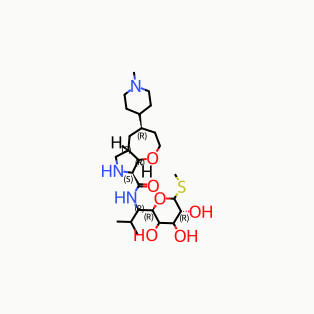 CSC1O[C@H]([C@H](NC(=O)[C@H]2NC[C@@H]3C[C@@H](C4CCN(C)CC4)CCO[C@H]32)C(C)C)C(O)C(O)[C@H]1O